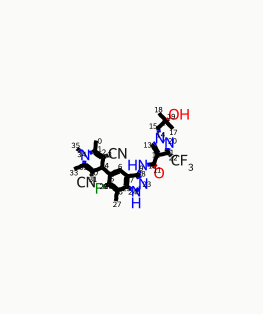 CC1=C(C#N)C(c2cc3c(NC(=O)c4cn(CC(C)(C)O)nc4C(F)(F)F)n[nH]c3c(C)c2F)C(C#N)=C(C)N1C